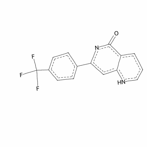 O=c1nc(-c2ccc(C(F)(F)F)cc2)cc2[nH]cccc1-2